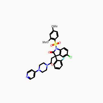 COc1ccc(S(=O)(=O)N2C(=O)C(CC(=O)N3CCN(c4ccncc4)CC3)(c3ccccc3F)c3cc(Cl)ccc32)c(OC)c1